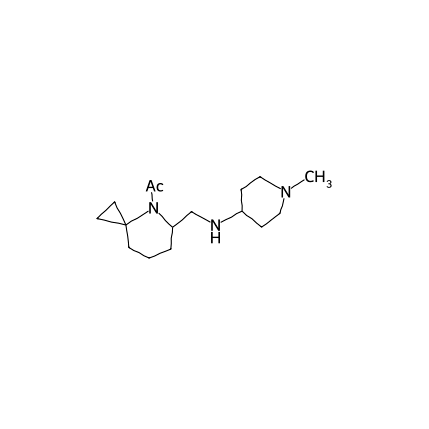 CC(=O)N1C(CNC2CCN(C)CC2)CCCC12CC2